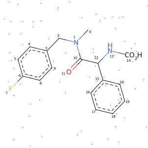 CN(Cc1ccc(F)cc1)C(=O)C(NC(=O)O)c1ccccc1